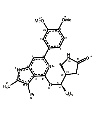 COc1ccc(-c2cc3nc(C)n(C(C)C)c3c(O[C@H](C)[C@H]3CNC(=O)C3)n2)cc1OC